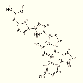 COC(O)Cc1ccc(-c2cnc([C@@H]3CCc4cc(-c5cc(Cl)ccc5-n5cnnn5)cc(=O)n43)[nH]2)s1